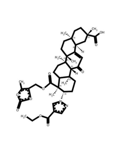 CCOC(=O)c1cnn([C@H]2CC[C@@]3(C)C(CC[C@]4(C)[C@@H]3C(=O)C=C3[C@@H]5C[C@@](C)(C(=O)O)CC[C@]5(C)CC[C@]34C)[C@]2(C)C(=O)OCc2oc(=O)oc2C)c1